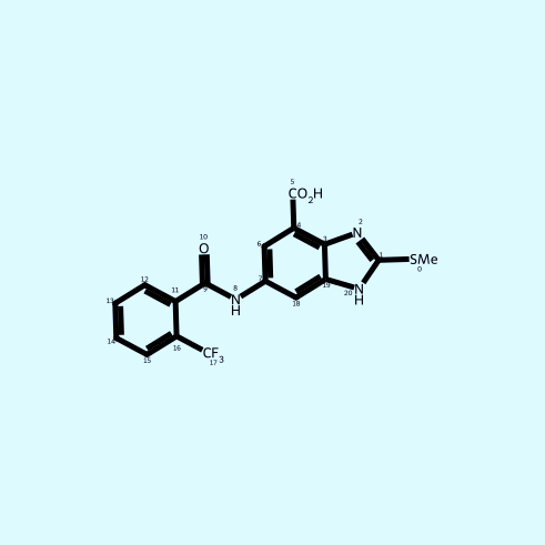 CSc1nc2c(C(=O)O)cc(NC(=O)c3ccccc3C(F)(F)F)cc2[nH]1